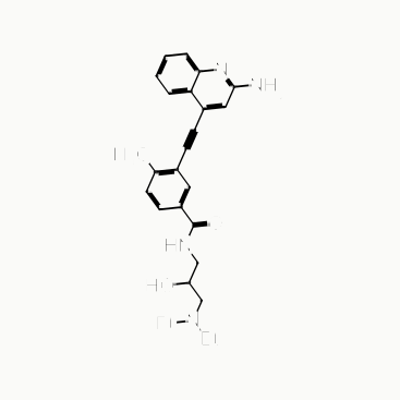 CCN(CC)CC(O)CNC(=O)c1ccc(C)c(C#Cc2cc(N)nc3ccccc23)c1